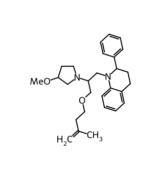 C=C(C)CCOCC(CN1c2ccccc2CCC1c1ccccc1)N1CCC(OC)C1